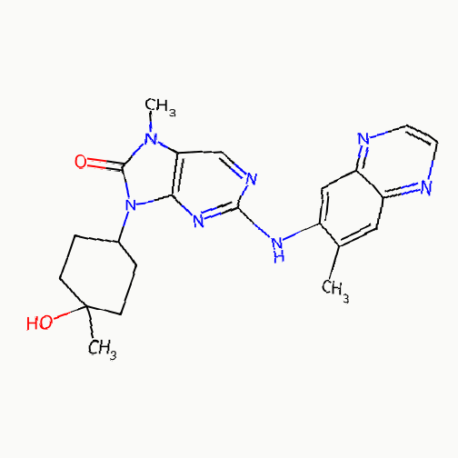 Cc1cc2nccnc2cc1Nc1ncc2c(n1)n(C1CCC(C)(O)CC1)c(=O)n2C